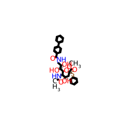 COC(=O)[C@]1(Sc2ccccc2)C[C@@H](O)[C@@H](NC(C)=O)C([C@H](O)[C@H](O)CNC(=O)c2ccc(-c3ccccc3)cc2)O1